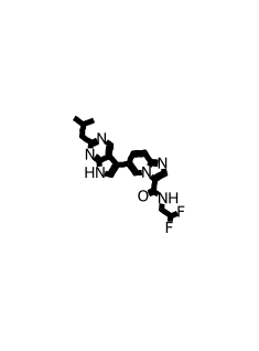 CC(C)Cc1ncc2c(-c3ccc4ncc(C(=O)NCC(F)F)n4c3)c[nH]c2n1